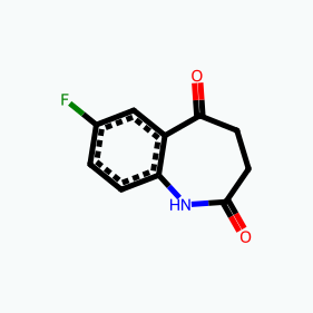 O=C1CCC(=O)c2cc(F)ccc2N1